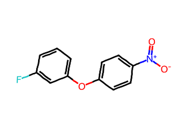 O=[N+]([O-])c1ccc(Oc2cccc(F)c2)cc1